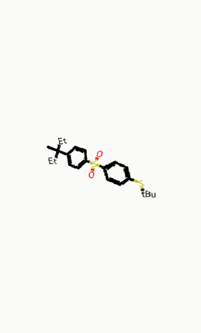 CCC(C)(CC)c1ccc(S(=O)(=O)c2ccc(SC(C)(C)C)cc2)cc1